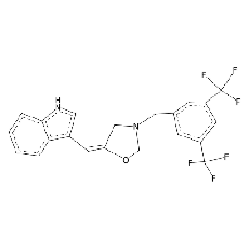 FC(F)(F)c1cc(CN2COC(=Cc3c[nH]c4ccccc34)C2)cc(C(F)(F)F)c1